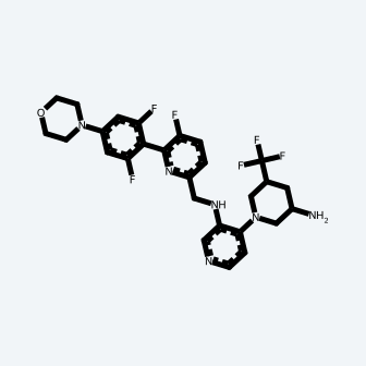 NC1CC(C(F)(F)F)CN(c2ccncc2NCc2ccc(F)c(-c3c(F)cc(N4CCOCC4)cc3F)n2)C1